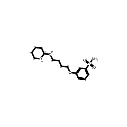 NS(=O)(=O)c1cccc(OCCCCOC2CCCCO2)c1